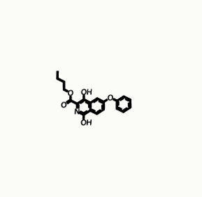 CCCCOC(=O)c1nc(O)c2ccc(Oc3ccccc3)cc2c1O